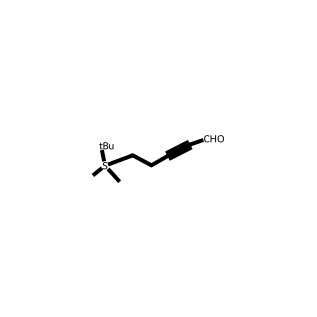 CC(C)(C)S(C)(C)CCC#CC=O